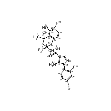 CC1(C)C[C@](O)(C(F)(F)F)[C@@H](NC(=O)c2cnn(-c3ccc(F)cc3F)c2N)c2ccc(F)c(O)c21